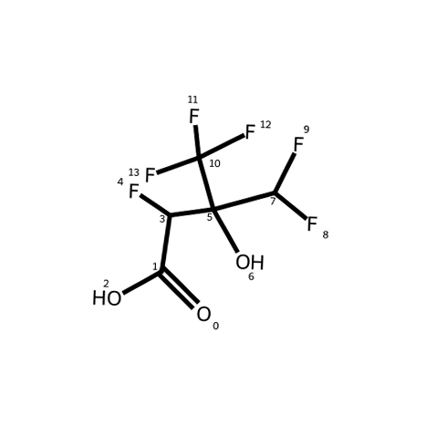 O=C(O)C(F)C(O)(C(F)F)C(F)(F)F